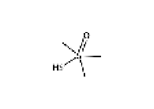 CS(C)(C)(=O)S